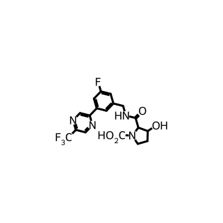 O=C(NCc1cc(F)cc(-c2cnc(C(F)(F)F)cn2)c1)C1C(O)CCN1C(=O)O